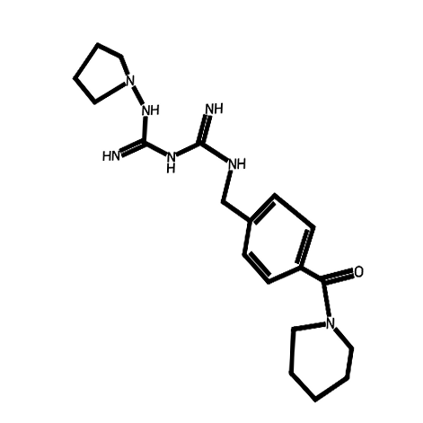 N=C(NCc1ccc(C(=O)N2CCCCC2)cc1)NC(=N)NN1CCCC1